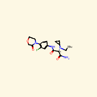 CC(C)(C)CN(C1CC1)[C@H](C(N)=O)C(=O)Nc1ccc(N2CCOCC2=O)c(F)c1